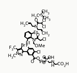 C=CCN(CC=C)C(=O)C(Cl)Cl.CC(C)OC(=O)c1cc(-c2nn(C)c(C(F)(F)F)c2Br)c(F)cc1Cl.CCc1cccc(CC)c1N(COC)C(=O)CCl.C[S+](C)C.O=C(O)CNCP(=O)([O-])O